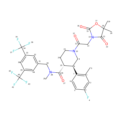 Cc1cc(F)ccc1[C@@H]1CN(C(=O)CN2C(=O)OC(C)(C)C2=O)CC[C@H]1C(=O)N(C)Cc1cc(C(F)(F)F)cc(C(F)(F)F)c1